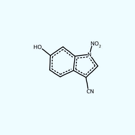 N#Cc1cn([N+](=O)[O-])c2cc(O)ccc12